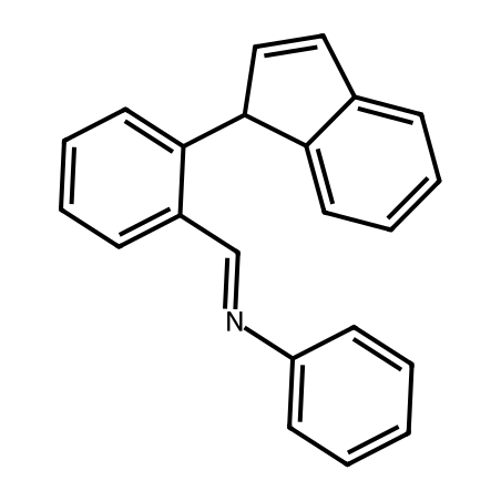 C1=CC(c2ccccc2/C=N/c2ccccc2)c2ccccc21